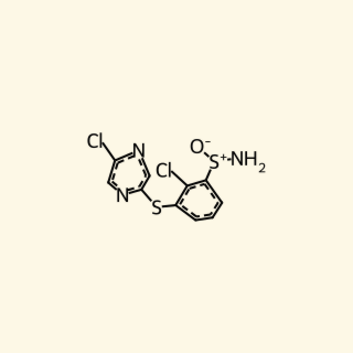 N[S+]([O-])c1cccc(Sc2cnc(Cl)cn2)c1Cl